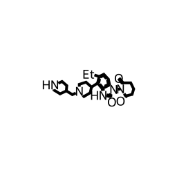 CCc1ccc2c([nH]c(=O)n2N2C(=O)CCCC2=O)c1C1CCN(CC2CCNCC2)CC1